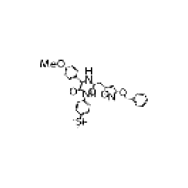 COc1ccc(C(NC(=O)Cc2cc(OCc3ccccc3)no2)C(=O)Nc2ccc([Si](C)(C)C)cc2)cc1